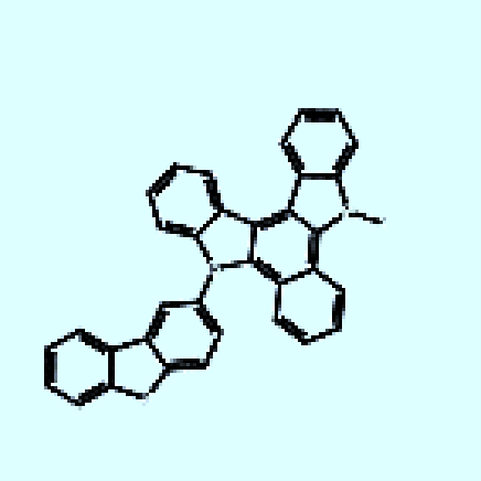 In1c2ccccc2c2c3c4ccccc4n(-c4ccc5sc6ccccc6c5c4)c3c3ccccc3c21